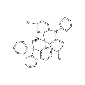 Brc1ccc2c(c1)C1(c3cc(Br)ccc3N2c2ccccc2)c2ccccc2C(c2ccccc2)(c2ccccc2)c2ccccc21